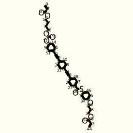 C=CC(=O)OCCCCOC(=O)Oc1ccc(C#Cc2ccc(C#Cc3ccc(C(=O)Sc4ccc(OCCCOC(=O)C=C)cc4)cc3)cc2)cc1